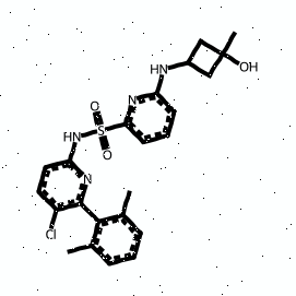 Cc1cccc(C)c1-c1nc(NS(=O)(=O)c2cccc(NC3CC(C)(O)C3)n2)ccc1Cl